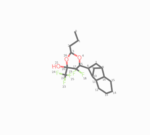 CCCC1OC(C2CC3CC2C2CCCCC32)C(F)(F)C(O)(C(F)(F)F)O1